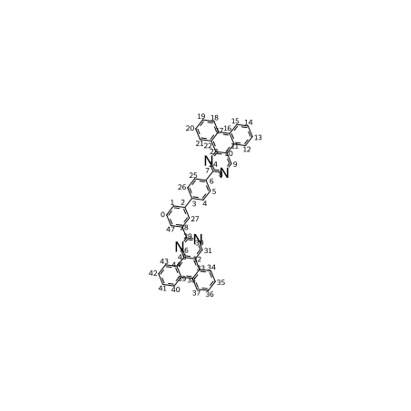 c1cc(-c2ccc(-c3ncc4c5ccccc5c5ccccc5c4n3)cc2)cc(-c2ncc3c4ccccc4c4ccccc4c3n2)c1